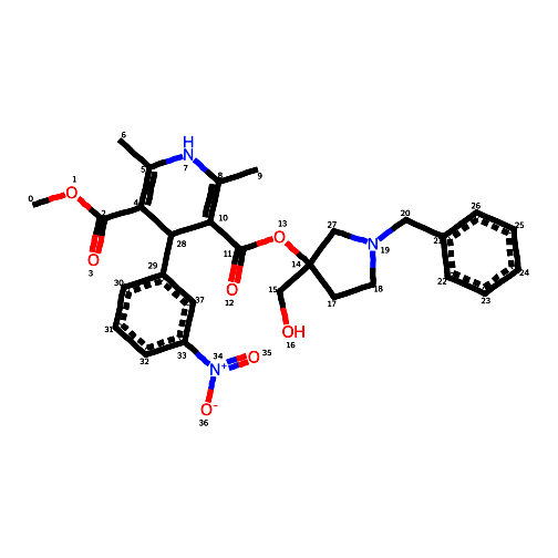 COC(=O)C1=C(C)NC(C)=C(C(=O)OC2(CO)CCN(Cc3ccccc3)C2)C1c1cccc([N+](=O)[O-])c1